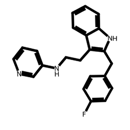 Fc1ccc(Cc2[nH]c3ccccc3c2CCNc2cccnc2)cc1